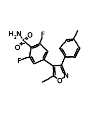 Cc1ccc(-c2noc(C)c2-c2cc(F)c(S(N)(=O)=O)c(F)c2)cc1